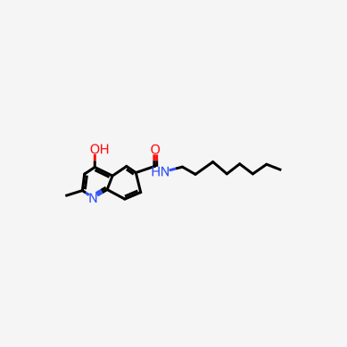 CCCCCCCCNC(=O)c1ccc2nc(C)cc(O)c2c1